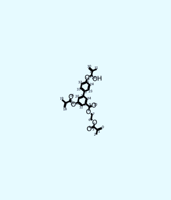 C=C(C)C(=O)OCCOC(=O)c1cc(OC(=O)C(=C)C)cc(-c2ccc(O[C@H](O)C(=C)C)cc2)c1